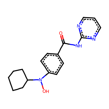 O=C(Nc1ncccn1)c1ccc(N(O)C2CCCCC2)cc1